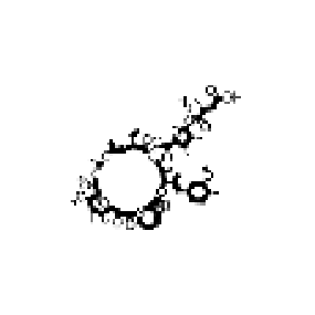 CC[C@@H]1/C=C(\C)C[C@H](C)C[C@H](OC)[C@H]2O[C@@](O)(C(=O)C(=O)N3CCCC[C@H]3C(=O)O[C@H](/C(C)=C/[C@@H]3CC[C@@H](C)[C@H](OC)C3)[C@H](C)[C@@H](OC(=O)C3O[C@@H](OC(=O)[C@H](N)CC(=O)O)[C@H](C)[C@@H]3C)CC1=O)[C@H](C)C[C@@H]2OC